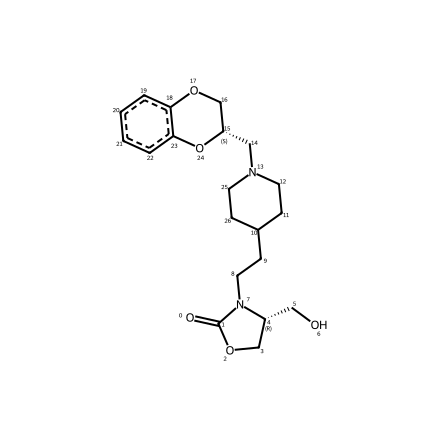 O=C1OC[C@@H](CO)N1CCC1CCN(C[C@H]2COc3ccccc3O2)CC1